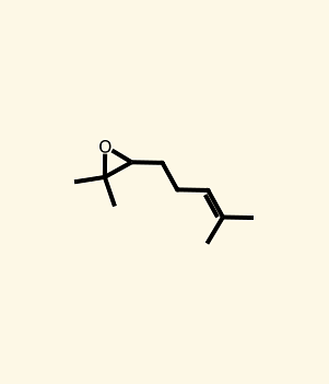 CC(C)=CCCC1OC1(C)C